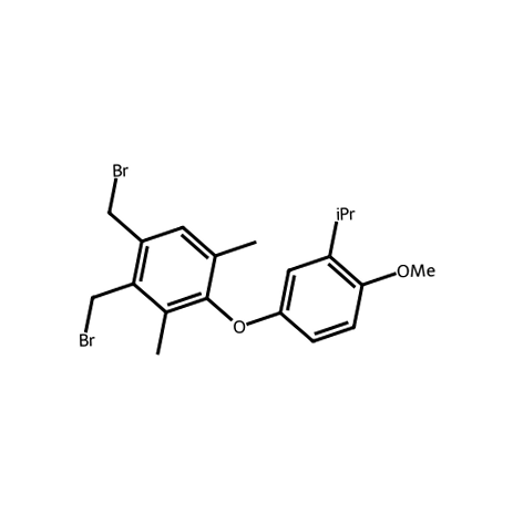 COc1ccc(Oc2c(C)cc(CBr)c(CBr)c2C)cc1C(C)C